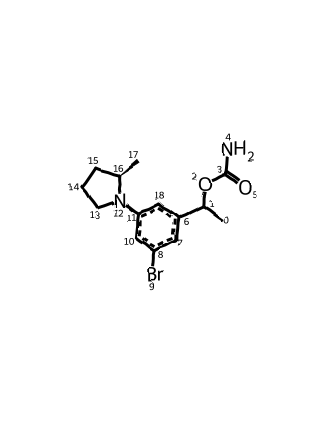 CC(OC(N)=O)c1cc(Br)cc(N2CCC[C@H]2C)c1